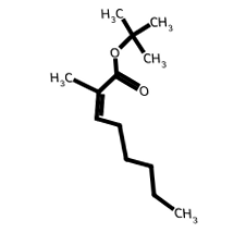 CCCCCC=C(C)C(=O)OC(C)(C)C